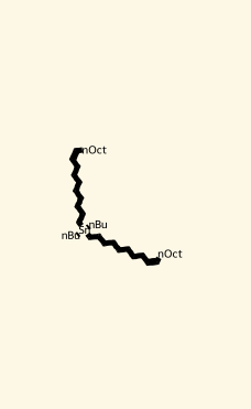 CCCCCCCC/C=C\CCCCCCC[CH2][Sn]([CH2]CCC)([CH2]CCC)[CH2]CCCCCCC/C=C\CCCCCCCC